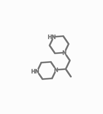 CC(CN1CCNCC1)N1CCNCC1